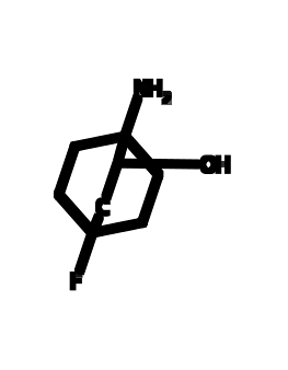 NC12CCC(F)(CC1)CC2O